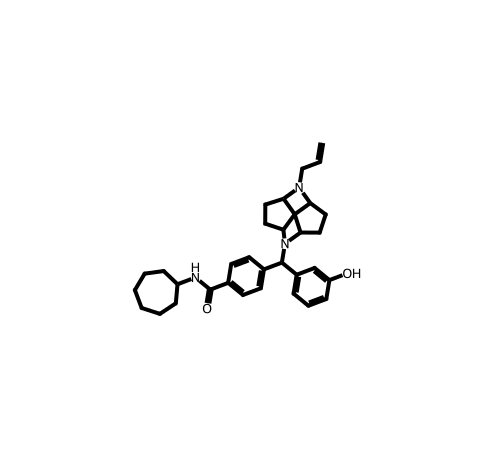 C=CCN1C2CCC3N(C(c4ccc(C(=O)NC5CCCCCC5)cc4)c4cccc(O)c4)C4CCC1C234